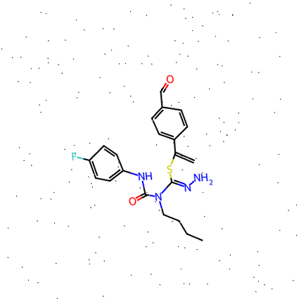 C=C(S/C(=N\N)N(CCCC)C(=O)Nc1ccc(F)cc1)c1ccc(C=O)cc1